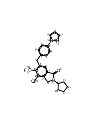 O=C1c2cc(Cc3ccc(-n4cccn4)cc3)c(C(F)(F)F)c(Cl)c2CN1C1CCCC1